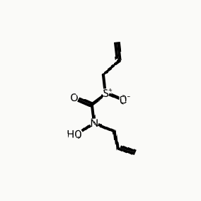 C=CCN(O)C(=O)[S+]([O-])CC=C